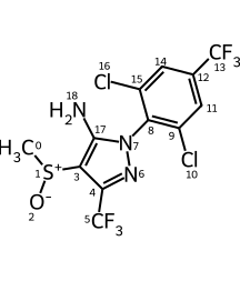 C[S+]([O-])c1c(C(F)(F)F)nn(-c2c(Cl)cc(C(F)(F)F)cc2Cl)c1N